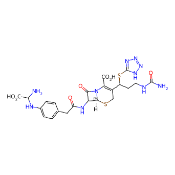 NC(=O)NCCC(Sc1nnn[nH]1)C1=C(C(=O)O)N2C(=O)C(NC(=O)Cc3ccc(NC(N)C(=O)O)cc3)[C@@H]2SC1